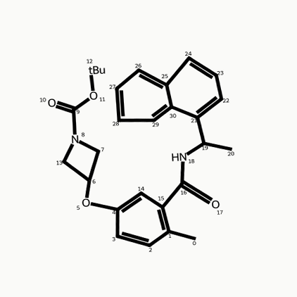 Cc1ccc(OC2CN(C(=O)OC(C)(C)C)C2)cc1C(=O)NC(C)c1cccc2ccccc12